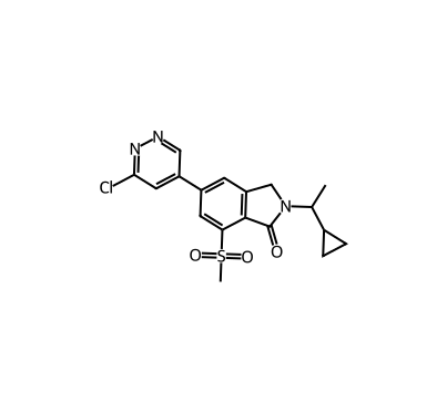 CC(C1CC1)N1Cc2cc(-c3cnnc(Cl)c3)cc(S(C)(=O)=O)c2C1=O